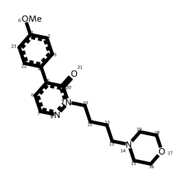 COc1ccc(-c2ccnn(CCCCN3CCOCC3)c2=O)cc1